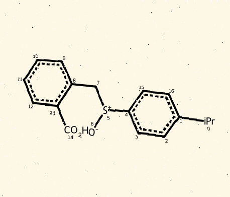 CC(C)c1ccc([S+]([O-])Cc2ccccc2C(=O)O)cc1